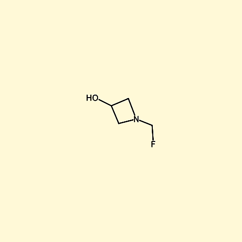 OC1CN(CF)C1